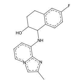 Cc1cn2cccc(NC3c4ccc(F)cc4CCC3O)c2n1